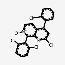 [O-][n+]1ccc2c(-c3ccccc3Cl)cc(Cl)nc2c1-c1c(Cl)cccc1Cl